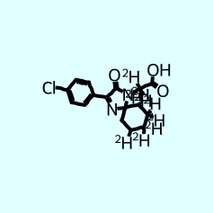 [2H]C1CC2(N=C(c3ccc(Cl)cc3)C(=O)N2C([2H])([2H])C(=O)O)C([2H])([2H])C([2H])([2H])C1([2H])[2H]